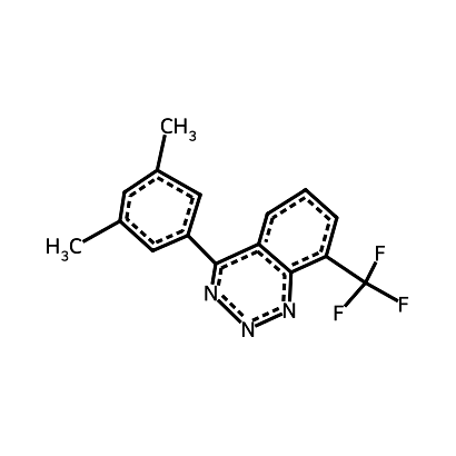 Cc1cc(C)cc(-c2nnnc3c(C(F)(F)F)cccc23)c1